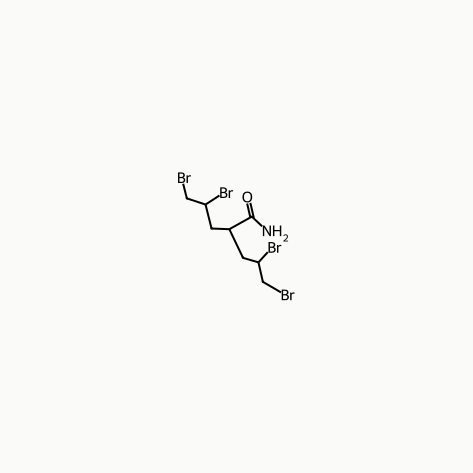 NC(=O)C(CC(Br)CBr)CC(Br)CBr